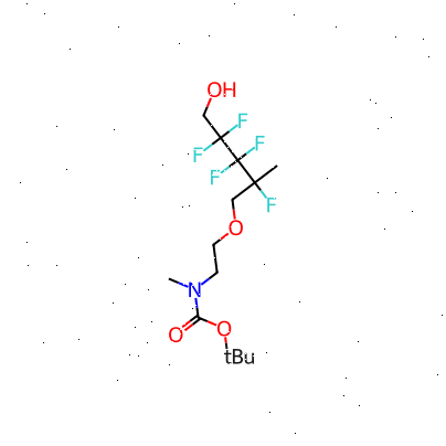 CN(CCOCC(C)(F)C(F)(F)C(F)(F)CO)C(=O)OC(C)(C)C